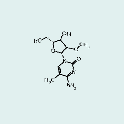 COC1C(O)[C@@H](CO)O[C@H]1n1cc(C)c(N)nc1=O